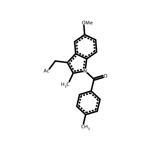 COc1ccc2c(c1)c(CC(C)=O)c(C)n2C(=O)c1ccc(C)cc1